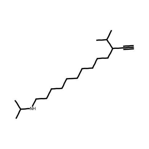 C#CC(CCCCCCCCCCNC(C)C)C(C)C